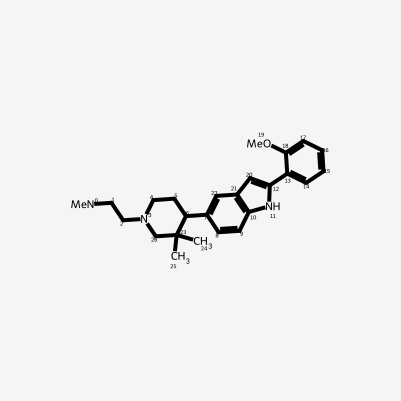 CNCCN1CCC(c2ccc3[nH]c(-c4ccccc4OC)cc3c2)C(C)(C)C1